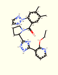 CCOc1ncccc1-c1nnc(C2CCCN2C(=O)c2cc(C)c(C)cc2-n2nccn2)[nH]1